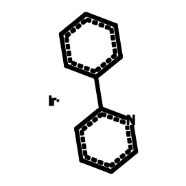 [Ir].c1ccc(-c2ccccn2)cc1